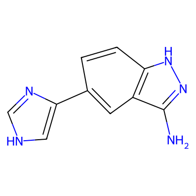 Nc1n[nH]c2ccc(-c3c[nH]cn3)cc12